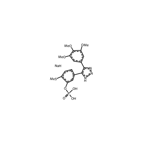 COc1cc(-c2nn[nH]c2-c2ccc(SC)c(OP(=O)(O)O)c2)cc(OC)c1OC.[NaH]